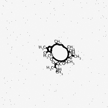 C=C1N[C@]2(O)C[C@H](O1)[C@@H](C)[C@@H]1O[C@@]1(C)[C@@H](OC(=O)[C@H](C)NC)CC(=O)N(C)c1cc(cc(C)c1Cl)C/C(C)=C/C=C/[C@H]2C